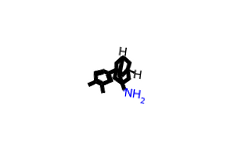 Cc1ccc(C23C[C@@H]4C[C@@H](CC(CN)(C4)C2)C3)cc1C